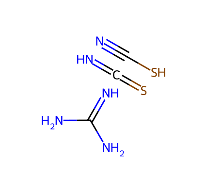 N#CS.N=C(N)N.N=C=S